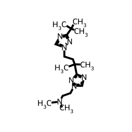 CN(C)CCn1cnc(C(C)(C)CCn2cnc(C(C)(C)C)n2)n1